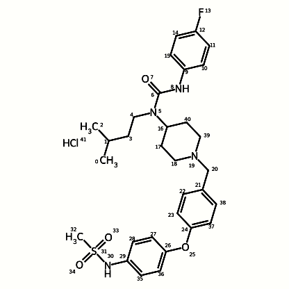 CC(C)CCN(C(=O)Nc1ccc(F)cc1)C1CCN(Cc2ccc(Oc3ccc(NS(C)(=O)=O)cc3)cc2)CC1.Cl